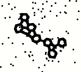 c1ccc(-n2c3ccccc3c3cc(-c4ccc5c(c4)c4ccc6c7ccccc7c7cccc8c7c6c4n58)ccc32)cc1